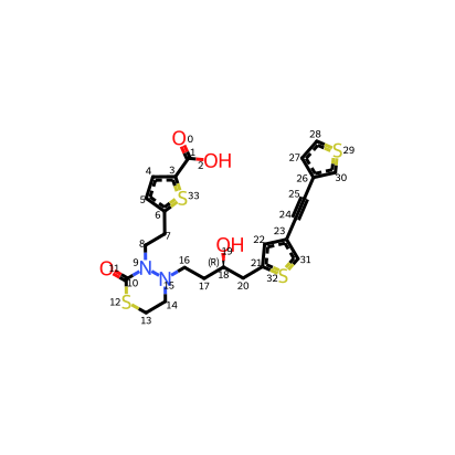 O=C(O)c1ccc(CCN2C(=O)SCCN2CC[C@@H](O)Cc2cc(C#Cc3ccsc3)cs2)s1